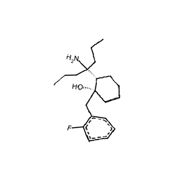 CCCC(N)(CCC)[C@@H]1CCCC[C@@]1(O)Cc1ccccc1F